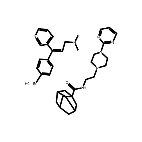 CN(C)C/C=C(/c1ccc(Br)cc1)c1cccnc1.Cl.O=C(NCCN1CCN(c2ncccn2)CC1)C12CC3CC(CC(C3)C1)C2